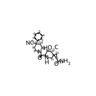 N#CC1(c2ccccc2)CCN(C(=O)C2NCC3(CC2C(=O)O)CC3C(N)=O)CC1